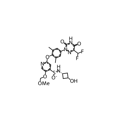 COCOc1cnc(Oc2c(C)cc(-n3nc(C(F)F)c(=O)[nH]c3=O)cc2C)cc1[S+]([O-])N[C@H]1C[C@H](O)C1